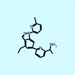 CCc1cc(-c2cccc(C(C)N)n2)cc2c1cnn2-c1cccc(C)n1